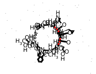 CN[C@H]1CSCC[C@@H](C(=O)N[C@H](C(=O)O)[C@@H](C)O)NC(=O)[C@H](Cc2cc3ccccc3cn2)NC(=O)[C@H](C(C)C)NC(=O)[C@@H]2CCCCn3cc(nn3)CC[C@H](NC(=O)[C@H](C)NC1=O)C(=O)N[C@@H](Cc1c[nH]cn1)C(=O)N[C@@H](CC1CC1)C(=O)NCC(=O)N[C@@H](CCC(=O)O)C(=O)N2